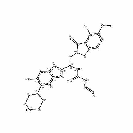 COc1ccc2c(c1F)C(=O)N(C[C@H](NC(=O)NC=O)c1cc3nc(C4CCNCC4)c(F)cc3o1)C2